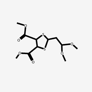 COC(=O)C1SC(CC(OC)OC)SC1C(=O)OC